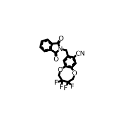 N#Cc1cc2c(cc1CN1C(=O)c3ccccc3C1=O)OCC(F)(F)C(F)(F)CO2